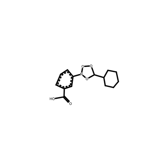 O=C(O)c1cccc(N2OOC(C3CCCCC3)O2)c1